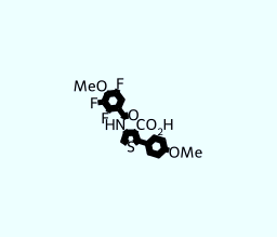 COc1ccc(-c2scc(NC(=O)c3cc(F)c(OC)c(F)c3F)c2C(=O)O)cc1